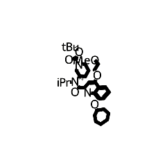 COCCOc1cc(C(=O)N(C(C)C)[C@@H]2CCCN(C(=O)OC(C)(C)C)C2)nc2c(OC3CCCCCC3)cccc12